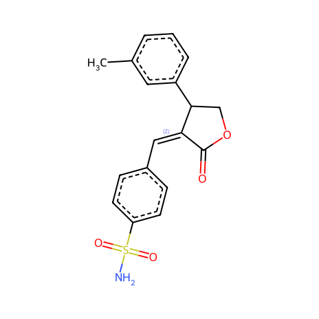 Cc1cccc(C2COC(=O)/C2=C\c2ccc(S(N)(=O)=O)cc2)c1